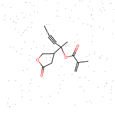 C=C(C)C(=O)OC(C)(C#CC)C1COC(=O)C1